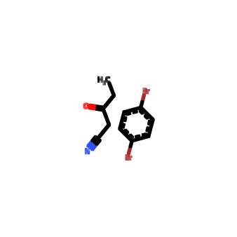 Brc1ccc(Br)cc1.CCC(=O)CC#N